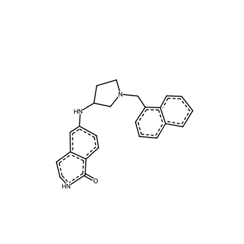 O=c1[nH]ccc2cc(NC3CCN(Cc4cccc5ccccc45)C3)ccc12